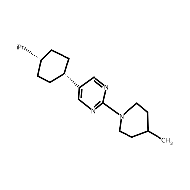 CC1CCN(c2ncc([C@H]3CC[C@@H](C(C)C)CC3)cn2)CC1